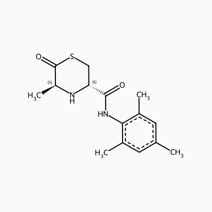 Cc1cc(C)c(NC(=O)[C@H]2CSC(=O)[C@H](C)N2)c(C)c1